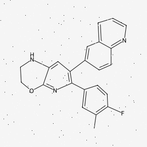 Cc1cc(-c2nc3c(cc2-c2ccc4ncccc4c2)NCCO3)ccc1F